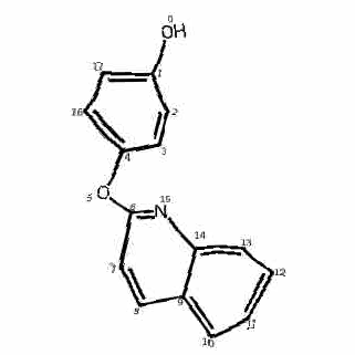 Oc1ccc(Oc2ccc3ccccc3n2)cc1